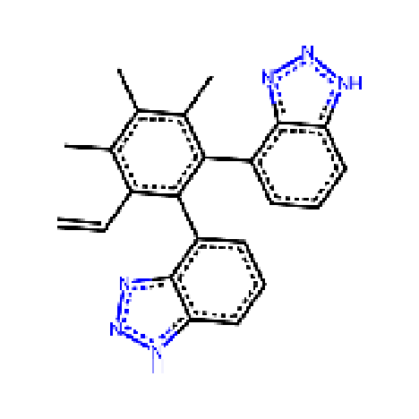 C=Cc1c(C)c(C)c(C)c(-c2cccc3[nH]nnc23)c1-c1cccc2[nH]nnc12